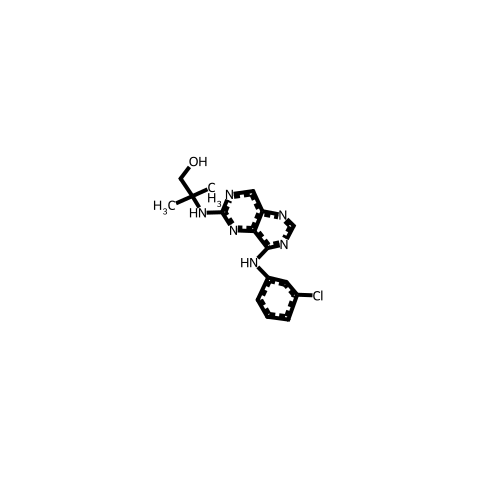 CC(C)(CO)Nc1ncc2ncnc(Nc3cccc(Cl)c3)c2n1